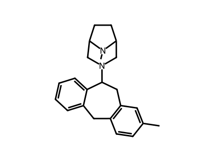 Cc1ccc2c(c1)CC(N1CC3CCC(C1)N3C)c1ccccc1C2